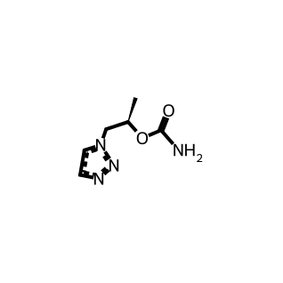 C[C@H](Cn1ccnn1)OC(N)=O